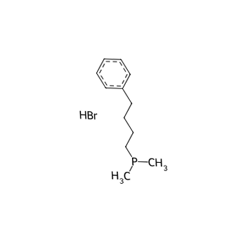 Br.CP(C)CCCCc1ccccc1